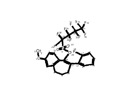 COc1ccc2c(c1)CCCC(c1ccccc1F)=C2OS(=O)(=O)C(F)(F)C(F)(F)C(F)(F)C(F)(F)F